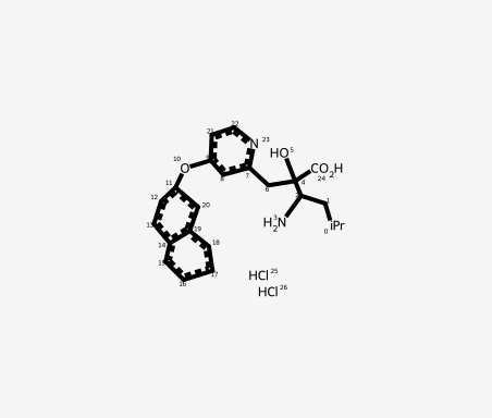 CC(C)CC(N)C(O)(Cc1cc(Oc2ccc3ccccc3c2)ccn1)C(=O)O.Cl.Cl